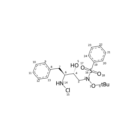 CC(C)(C)ON(C[C@@H](O)[C@H](Cc1ccccc1)NCl)S(=O)(=O)c1ccccc1